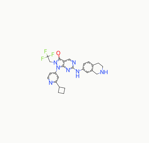 O=c1c2cnc(Nc3ccc4c(c3)CNCC4)nc2n(-c2ccnc(C3CCC3)c2)n1CC(F)(F)F